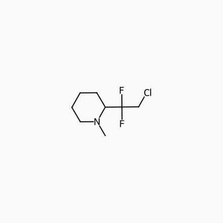 CN1CCCCC1C(F)(F)CCl